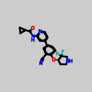 N#Cc1cc(-c2ccnc(NC(=O)C3CC3)c2)ccc1O[C@H]1CCNCC1(F)F